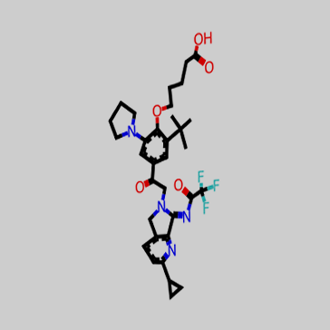 CC(C)(C)c1cc(C(=O)CN2Cc3ccc(C4CC4)nc3C2=NC(=O)C(F)(F)F)cc(N2CCCC2)c1OCCCCC(=O)O